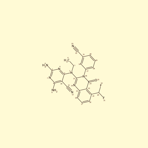 CCN(c1nc(N)nc(N)c1C#N)c1nc2cccc(C(F)F)c2c(=O)n1-c1cccc(C#N)c1